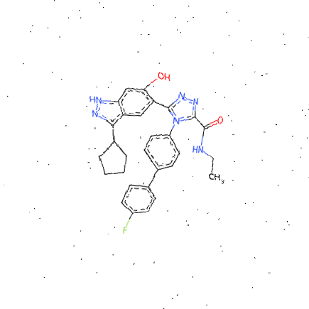 CCNC(=O)c1nnc(-c2cc3c(C4CCCC4)n[nH]c3cc2O)n1-c1ccc(-c2ccc(F)cc2)cc1